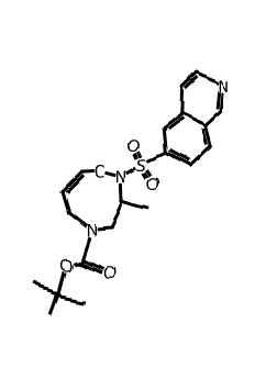 CC1CN(C(=O)OC(C)(C)C)CC=CCN1S(=O)(=O)c1ccc2cnccc2c1